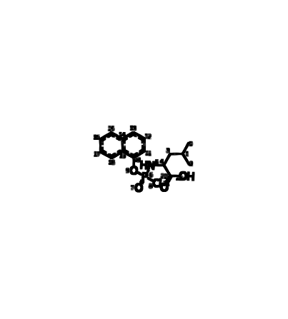 CC(C)CC(NP(=O)(Cl)Oc1cccc2ccccc12)C(=O)O